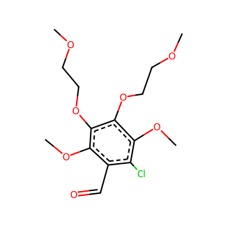 COCCOc1c(OC)c(Cl)c(C=O)c(OC)c1OCCOC